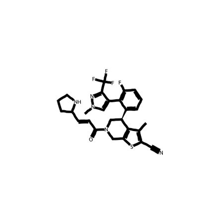 Cc1c(C#N)sc2c1[C@H](c1cccc(F)c1-c1cn(C)nc1C(F)(F)F)CN(C(=O)/C=C/C1CCCN1)C2